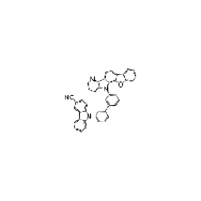 N#Cc1ccc2c(c1)c1ccccc1n2-c1cccc(-c2cccc(-n3c4cccnc4c4ccc5c6ccccc6oc5c43)c2)c1